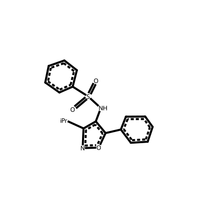 CC(C)c1noc(-c2ccccc2)c1NS(=O)(=O)c1ccccc1